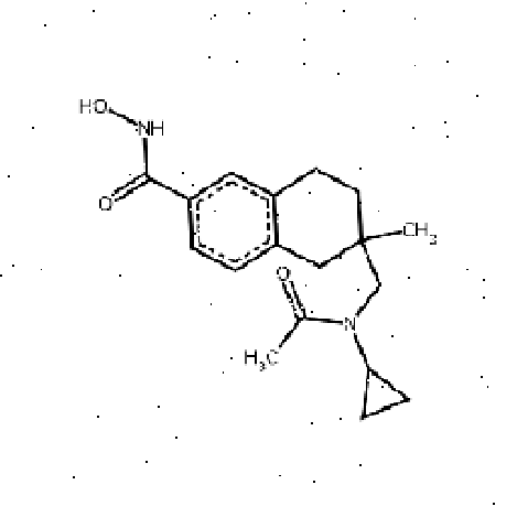 CC(=O)N(CC1(C)CCc2cc(C(=O)NO)ccc2C1)C1CC1